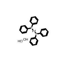 Cl.Cl.c1ccc([P]([Pd][P](c2ccccc2)c2ccccc2)c2ccccc2)cc1